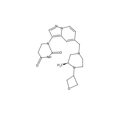 C[C@H]1CN(Cc2ccn3ncc(N4CCC(=O)NC4=O)c3c2)CCN1C1COC1